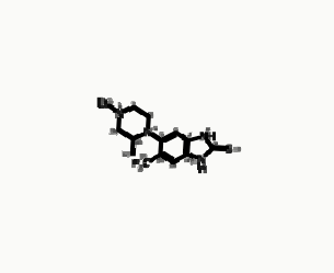 CCN1CCN(c2cc3[nH]c(=S)[nH]c3cc2C(F)(F)F)C(C)C1